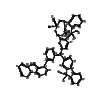 CC[C@@H]1CC2C[C@H](C)CC(C1)c1cc(N(c3cccc(-c4cccc5c4sc4ccccc45)c3)c3ccc4c(c3)C(C)(C)c3ccccc3-4)ccc1C(C)(C)c1ccccc12